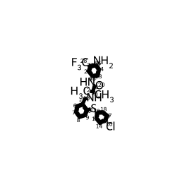 CC(C)(NCc1ccccc1Sc1ccc(Cl)cc1)C(=O)Nc1ccc(N)c(C(F)(F)F)c1